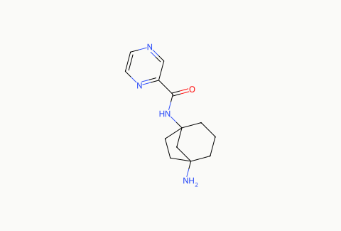 NC12CCCC(NC(=O)c3cnccn3)(CC1)C2